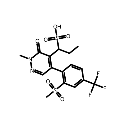 CCC(c1c(-c2ccc(C(F)(F)F)cc2S(C)(=O)=O)cnn(C)c1=O)S(=O)(=O)O